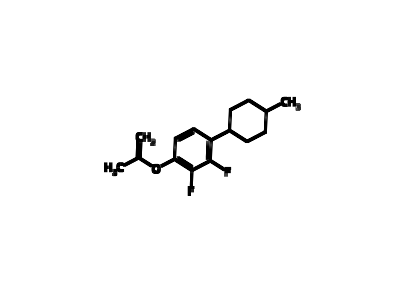 C=C(C)Oc1ccc(C2CCC(C)CC2)c(F)c1F